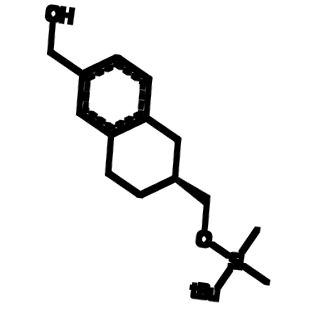 CC(C)(C)[Si](C)(C)OC[C@H]1CCc2cc(CO)ccc2C1